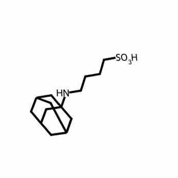 O=S(=O)(O)CCCCNC12CC3CC(CC(C3)C1)C2